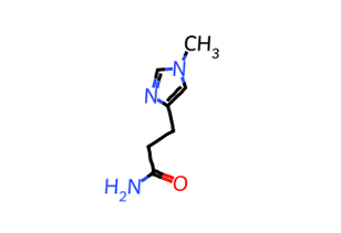 Cn1cnc(CCC(N)=O)c1